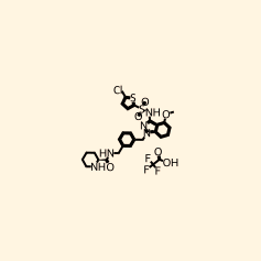 COc1cccc2c1c(NS(=O)(=O)c1ccc(Cl)s1)nn2Cc1cccc(CNC(=O)[C@@H]2CCCCN2)c1.O=C(O)C(F)(F)F